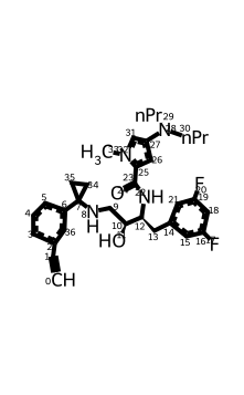 C#Cc1cccc(C2(NC[C@H](O)[C@H](Cc3cc(F)cc(F)c3)NC(=O)c3cc(N(CCC)CCC)cn3C)CC2)c1